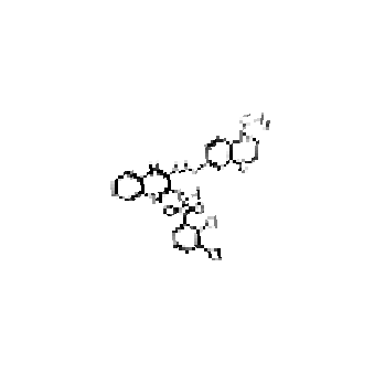 CN1CCOc2cc(COc3nc4ccccc4nc3NS(=O)(=O)c3cccc(Cl)c3Cl)ccc21